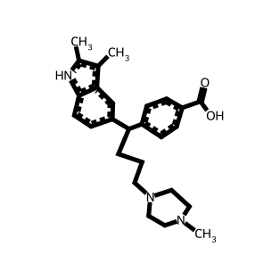 Cc1[nH]c2ccc(C(CCCN3CCN(C)CC3)c3ccc(C(=O)O)cc3)cc2c1C